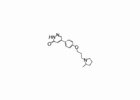 CC1CCCN1CCCOc1ccc(-c2cn[nH]c(=O)c2)cc1